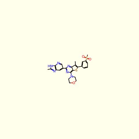 Cc1nc2cc(-c3nc(N4CCOCC4)c4sc(-c5cccc(S(C)(=O)=O)c5)c(C)c4n3)cnc2[nH]1